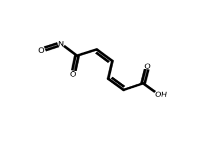 O=NC(=O)/C=C\C=C/C(=O)O